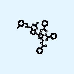 O=C(OC[C@H]1O[C@@H](n2cnc3c(NCc4cccc(I)c4)nc(Cl)nc32)[C@H](OC(=O)c2ccccc2)[C@@H]1OC(=O)c1ccccc1)c1ccccc1